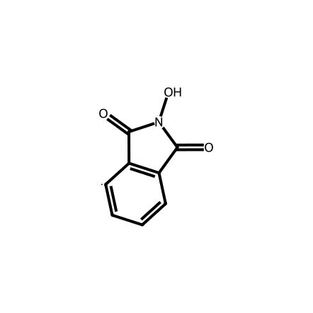 O=C1c2[c]cccc2C(=O)N1O